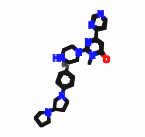 Cn1c(N2CCN[C@@H](c3ccc(N4CCC(N5CCCC5)C4)cc3)C2)nc(-c2ccncn2)cc1=O